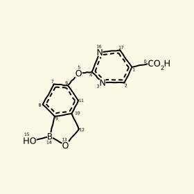 O=C(O)c1cnc(Oc2ccc3c(c2)COB3O)nc1